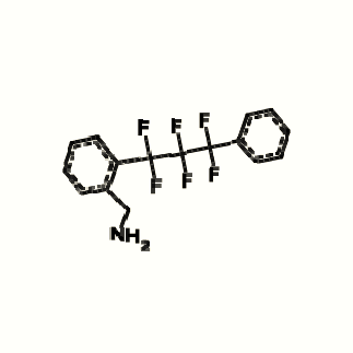 NCc1ccccc1C(F)(F)C(F)(F)C(F)(F)c1ccccc1